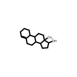 CC12CCC3C4CCCC=C4CCC3C1CCC2O